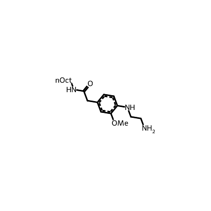 CCCCCCCCNC(=O)Cc1ccc(NCCN)c(OC)c1